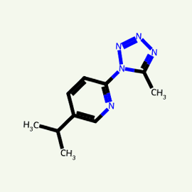 Cc1nnnn1-c1ccc(C(C)C)cn1